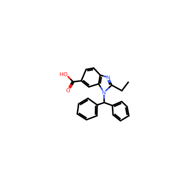 CCc1nc2ccc(C(=O)O)cc2n1C(c1ccccc1)c1ccccc1